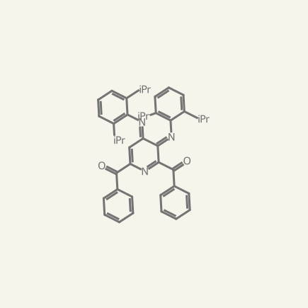 CC(C)c1cccc(C(C)C)c1N=C1C=C(C(=O)c2ccccc2)N=C(C(=O)c2ccccc2)C1=Nc1c(C(C)C)cccc1C(C)C